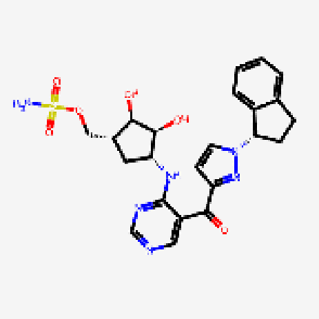 NS(=O)(=O)OC[C@H]1C[C@@H](Nc2ncncc2C(=O)c2ccn([C@H]3CCc4ccccc43)n2)[C@H](O)[C@@H]1O